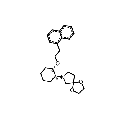 c1ccc2c(CCO[C@H]3CCCC[C@@H]3N3CCC4(C3)OCCO4)cccc2c1